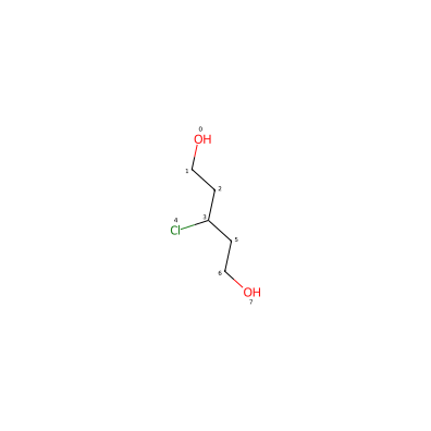 OCCC(Cl)CCO